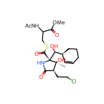 COC(=O)C(CSC(=O)[C@]1([C@@H](O)[C@@H]2C=CCCC2)NC(=O)[C@H](CCCl)[C@]1(C)O)NC(C)=O